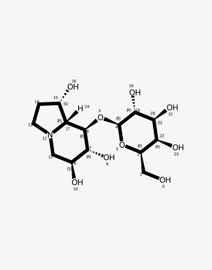 OC[C@H]1O[C@@H](O[C@H]2[C@H](O)[C@@H](O)CN3CC[C@H](O)[C@H]23)[C@H](O)[C@@H](O)[C@H]1O